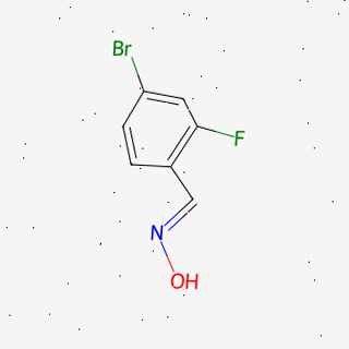 O/N=C/c1ccc(Br)cc1F